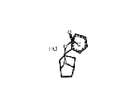 Cl.O=C(Cl)OC1CC2CCC(C1)N2Cc1ccccc1